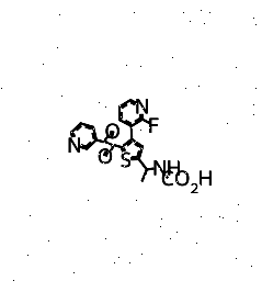 CC(NC(=O)O)c1cc(-c2cccnc2F)c(S(=O)(=O)c2cccnc2)s1